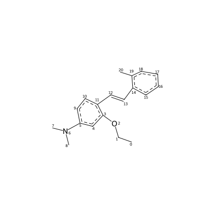 CCOc1cc(N(C)C)ccc1C=Cc1ccccc1C